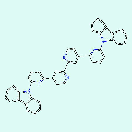 c1cc(-c2ccnc(-c3cc(-c4cccc(-n5c6ccccc6c6ccccc65)n4)ccn3)c2)nc(-n2c3ccccc3c3ccccc32)c1